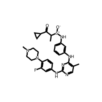 Cc1cnc(Nc2ccc(N3CCN(C)CC3)c(F)c2)nc1Nc1cccc(N[S+]([O-])C(C)C(=O)C2CC2)c1